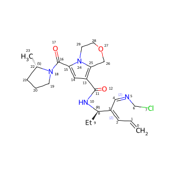 C=C/C=C(\C=N/CCl)[C@@H](CC)NC(=O)c1cc(C(=O)N2CCC[C@@H]2C)n2c1COCC2